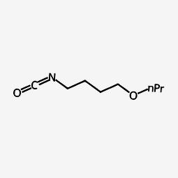 CCCOCCCCN=C=O